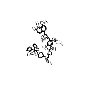 COc1cc(NC(=O)OCCN(C)C2CCC(OC(=O)C(O)(c3cccs3)c3cccs3)CC2)c(Cl)cc1CNCC(O)c1ccc(O)c2[nH]c(=O)ccc12